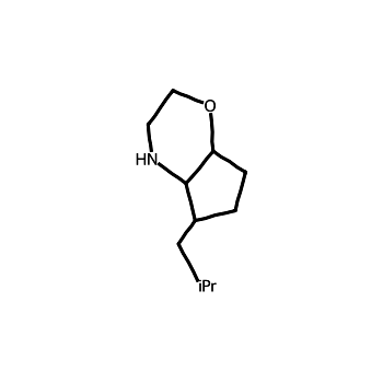 CC(C)CC1CCC2OCCNC12